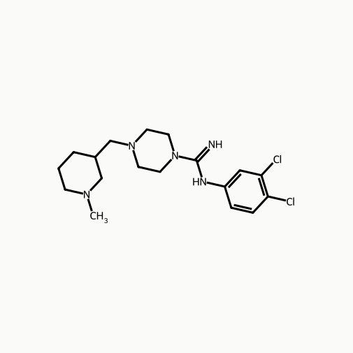 CN1CCCC(CN2CCN(C(=N)Nc3ccc(Cl)c(Cl)c3)CC2)C1